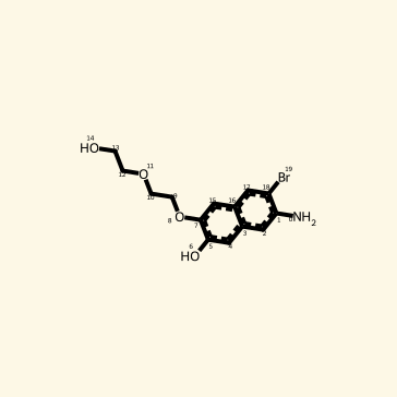 Nc1cc2cc(O)c(OCCOCCO)cc2cc1Br